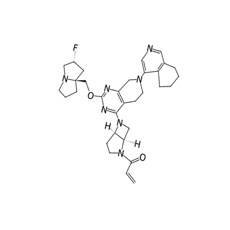 C=CC(=O)N1CC[C@@H]2[C@H]1CN2c1nc(OC[C@@]23CCCN2C[C@H](F)C3)nc2c1CCN(c1cncc3c1CCCC3)C2